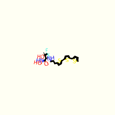 C[C@@](O)(C(F)F)[C@H](NCCCc1ccc(-c2ccc(-c3cccs3)s2)s1)C(=O)NO